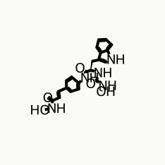 O=C(/C=C/c1ccc(NC(=O)[C@@H](Cc2c[nH]c3ccccc23)NC(=O)NO)cc1)NO